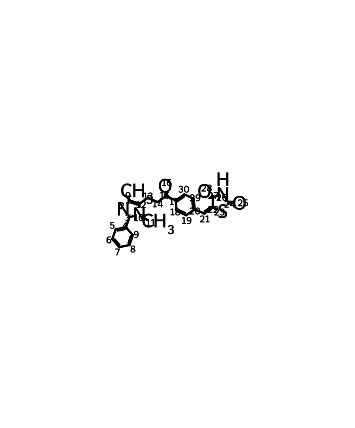 Cc1nc(-c2ccccc2)n(C)c1CCC(=O)c1ccc(/C=C2/SC(=O)NC2=O)cc1